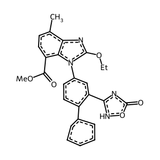 CCOc1nc2c(C)ccc(C(=O)OC)c2n1-c1ccc(-c2ccccc2)c(-c2nc(=O)o[nH]2)c1